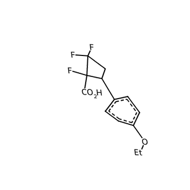 CCOc1ccc(C2CC(F)(F)C2(F)C(=O)O)cc1